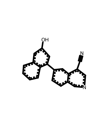 N#Cc1cncc2ccc(-c3cc(O)cc4ccccc34)cc12